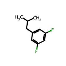 CC(C)Cc1cc(F)[c]c(F)c1